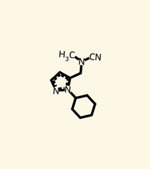 CN(C#N)Cc1ccnn1C1CCCCC1